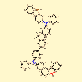 CC1(C)c2cc(-c3ccc4c(c3)c3cc5c(ccc6oc7ccccc7c65)cc3n4-c3ccccc3)ccc2-c2ccc(N(c3ccccc3)c3ccc4c(c3)sc3ccccc34)cc21